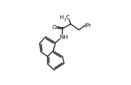 CC(C)CC(C)C(=O)Nc1cccc2ccccc12